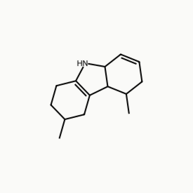 CC1CCC2=C(C1)C1C(C)CC=CC1N2